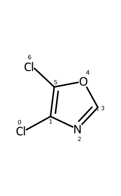 Clc1n[c]oc1Cl